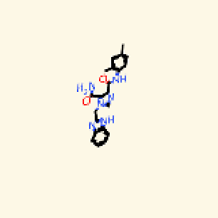 Cc1ccc(NC(=O)c2ncn(Cc3nc4ccccc4[nH]3)c2C(N)=O)c(C)c1